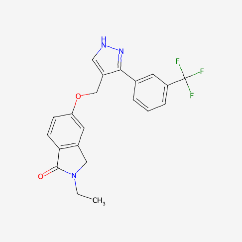 CCN1Cc2cc(OCc3c[nH]nc3-c3cccc(C(F)(F)F)c3)ccc2C1=O